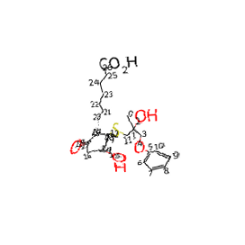 CC(O)(COc1ccccc1)CS[C@H]1C(O)CC(=O)[C@@H]1CCCCCCC(=O)O